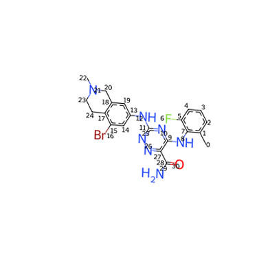 Cc1cccc(F)c1Nc1nc(Nc2cc(Br)c3c(c2)CN(C)CC3)nnc1C(N)=O